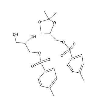 Cc1ccc(S(=O)(=O)OC[C@@H](O)CO)cc1.Cc1ccc(S(=O)(=O)OC[C@@H]2COC(C)(C)O2)cc1